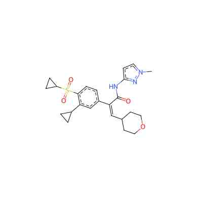 Cn1ccc(NC(=O)C(=CC2CCOCC2)c2ccc(S(=O)(=O)C3CC3)c(C3CC3)c2)n1